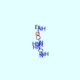 CCNCCOC1=CC=C(c2nnc(Nc3ccc4[nH]ncc4c3)[nH]2)CC1